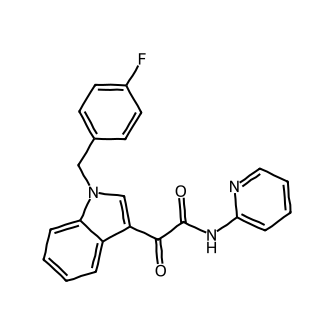 O=C(Nc1ccccn1)C(=O)c1cn(Cc2ccc(F)cc2)c2ccccc12